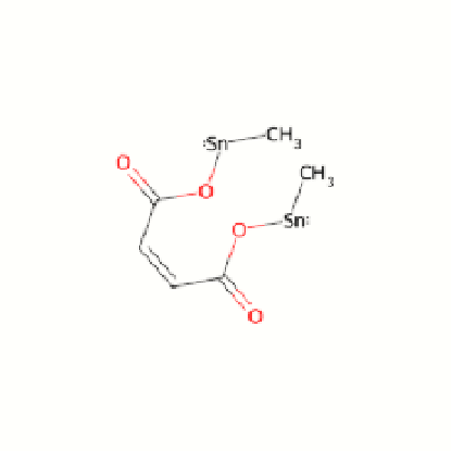 [CH3][Sn][O]C(=O)/C=C\C(=O)[O][Sn][CH3]